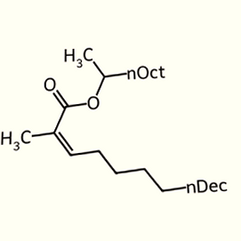 CCCCCCCCCCCCCCC=C(C)C(=O)OC(C)CCCCCCCC